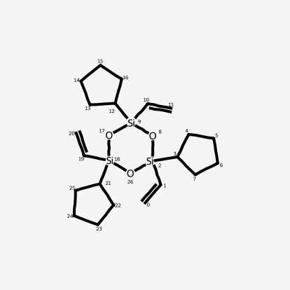 C=C[Si]1(C2CCCC2)O[Si](C=C)(C2CCCC2)O[Si](C=C)(C2CCCC2)O1